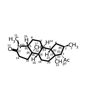 CC(=O)[C@H]1[C@H](C)C[C@H]2[C@@H]3CC[C@H]4N(C)C(=O)CC[C@]4(C)[C@H]3CC[C@@]21C